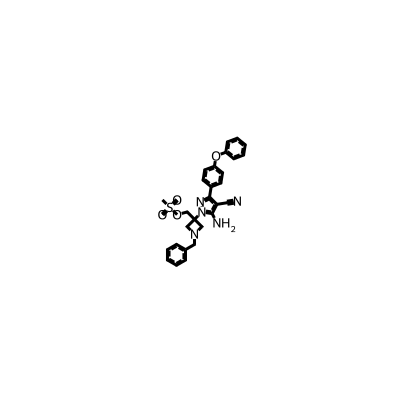 CS(=O)(=O)OCC1(n2nc(-c3ccc(Oc4ccccc4)cc3)c(C#N)c2N)CN(Cc2ccccc2)C1